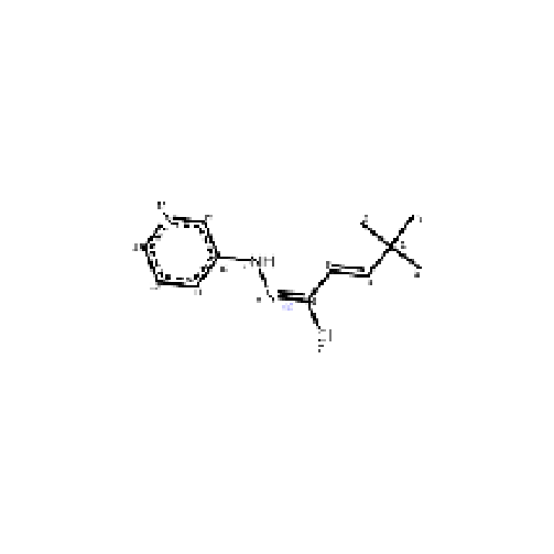 CC(C)(C)C=C/C(Cl)=N\Nc1cccnc1